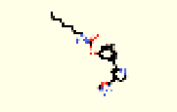 CCCCCCCNC(=O)Oc1cccc(-c2cc(-c3nnco3)ccn2)c1